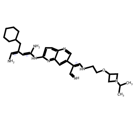 CC(C)N1CC(OCCN/C=C(\C=N)c2cnc3ccc(N/C(N)=C/C(=C\N)CC4CCCCC4)nc3c2)C1